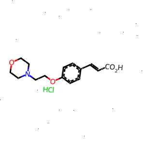 Cl.O=C(O)C=Cc1ccc(OCCN2CCOCC2)cc1